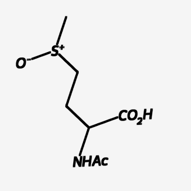 CC(=O)NC(CC[S+](C)[O-])C(=O)O